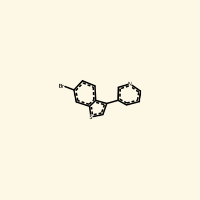 Brc1ccc2c(-c3cccnc3)csc2c1